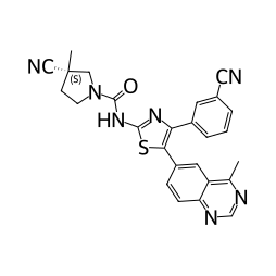 Cc1ncnc2ccc(-c3sc(NC(=O)N4CC[C@](C)(C#N)C4)nc3-c3cccc(C#N)c3)cc12